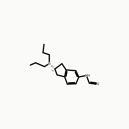 CCCN(CCC)[C@H]1Cc2ccc(NC=O)cc2C1